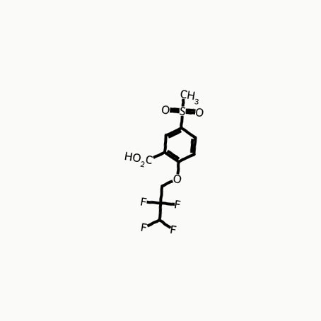 CS(=O)(=O)c1ccc(OCC(F)(F)C(F)F)c(C(=O)O)c1